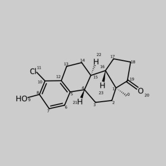 C[C@]12CC[C@@H]3c4ccc(O)c(Cl)c4CC[C@H]3[C@@H]1CCC2=O